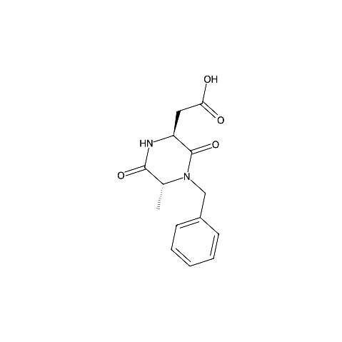 C[C@@H]1C(=O)N[C@@H](CC(=O)O)C(=O)N1Cc1ccccc1